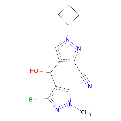 Cn1cc(C(O)c2cn(C3CCC3)nc2C#N)c(Br)n1